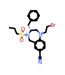 CCCS(=O)(=O)N1Cc2cc(C#N)ccc2N(CCBr)C[C@H]1Cc1ccccc1